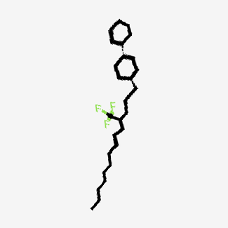 CCCCCCCCCCC(CCC[C@H]1CC[C@H](C2CCCCC2)CC1)C(F)(F)F